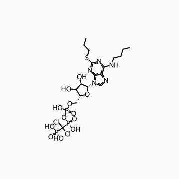 CCCCNc1nc(SCCC)nc2c1ncn2[C@@H]1O[C@H](COP(=O)(O)OP(=O)(O)C(Cl)(Cl)P(=O)(O)O)[C@@H](O)[C@H]1O